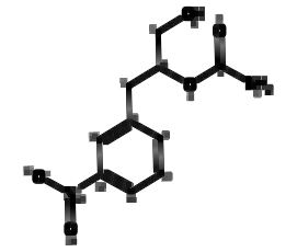 NC(=O)OC(CO)Cc1cccc([N+](=O)[O-])c1